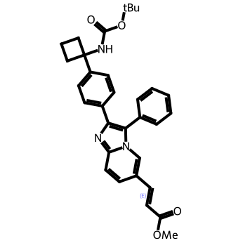 COC(=O)/C=C/c1ccc2nc(-c3ccc(C4(NC(=O)OC(C)(C)C)CCC4)cc3)c(-c3ccccc3)n2c1